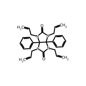 C=CCN1C(=O)N(CC=C)C2(c3ccccc3)N(CC=C)C(=O)N(CC=C)C12c1ccccc1